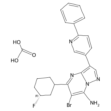 Nc1c(Br)c(C2CCC[C@@H](F)C2)nc2c(-c3ccc(-c4ccccc4)nc3)cnn12.O=C(O)O